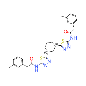 Cc1cccc(CC(=O)Nc2nnc([C@@H]3CCC[C@@H](c4nnc(NC(=O)Cc5cccc(C)c5)s4)C3)s2)c1